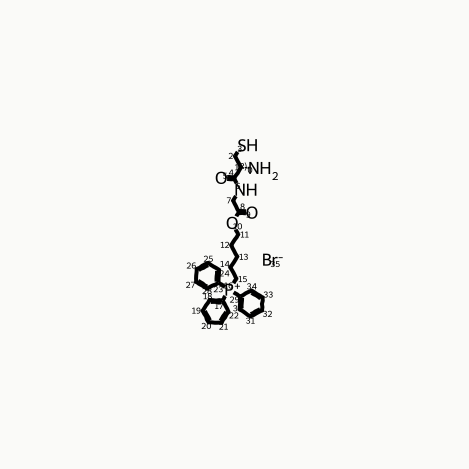 N[C@@H](CS)C(=O)NCC(=O)OCCCCC[P+](c1ccccc1)(c1ccccc1)c1ccccc1.[Br-]